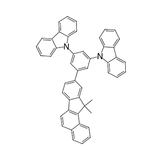 CC1(C)c2cc(-c3cc(-n4c5ccccc5c5ccccc54)cc(-n4c5ccccc5c5ccccc54)c3)ccc2-c2ccc3ccccc3c21